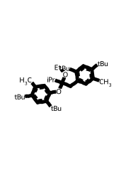 CCOC(Cc1cc(C)c(C(C)(C)C)cc1C(C)(C)C)(Oc1cc(C)c(C(C)(C)C)cc1C(C)(C)C)C(C)C